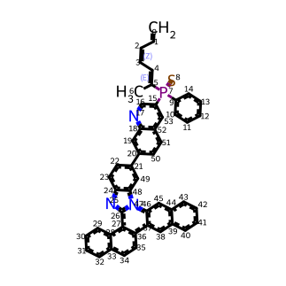 C=C/C=C\C=C(/C)P(=S)(c1ccccc1)c1cnc2cc(-c3ccc4nc5c6c7ccccc7ccc6c6cc7ccccc7cc6n5c4c3)ccc2c1